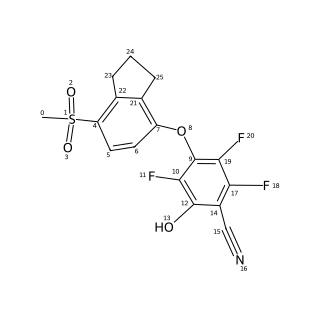 CS(=O)(=O)c1ccc(Oc2c(F)c(O)c(C#N)c(F)c2F)c2c1CCC2